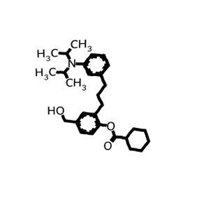 CC(C)N(c1cccc(CCCc2cc(CO)ccc2OC(=O)C2CCCCC2)c1)C(C)C